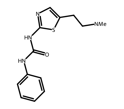 CNCCc1cnc(NC(=O)Nc2ccccc2)s1